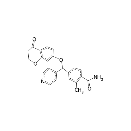 Cc1cc(C(Oc2ccc3c(c2)OCCC3=O)c2ccncc2)ccc1C(N)=O